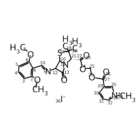 COc1cccc(OC)c1C=NC1C(=O)N2C1SC(C)(C)[C@@H]2C(=O)OCOC(=O)c1ccc[n+](C)c1.[I-]